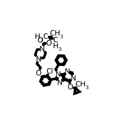 CC(C)(C)OC(=O)N1CCN(CCOc2cccc(-c3nc4c(OC5(C)CC5)ncnc4n3Cc3ccccc3)c2Cl)CC1